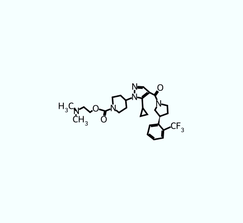 CN(C)CCOC(=O)N1CCC(n2ncc(C(=O)N3CC[C@@H](c4ccccc4C(F)(F)F)C3)c2C2CC2)CC1